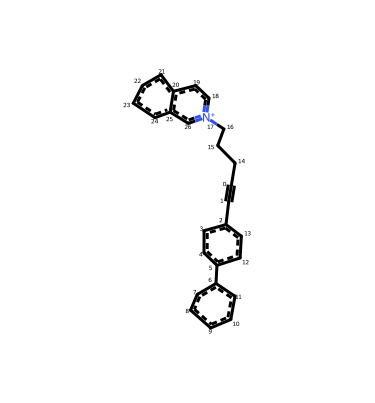 C(#Cc1ccc(-c2ccccc2)cc1)CCC[n+]1ccc2ccccc2c1